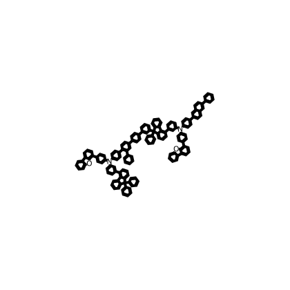 c1ccc(-c2ccc3cc(-c4ccc(N(c5ccc(-c6cccc7c6oc6ccccc67)cc5)c5cccc(-c6cccc7c6-c6ccccc6C7(c6ccccc6)c6cccc(-c7ccc(-c8ccc(-c9ccc(N(c%10ccc(-c%11cccc%12c%11oc%11ccccc%11%12)cc%10)c%10cccc(-c%11cccc%12c%11-c%11ccccc%11C%12(c%11ccccc%11)c%11ccccc%11)c%10)cc9)c(-c9ccccc9)c8)cc7)c6)c5)cc4)ccc3c2)cc1